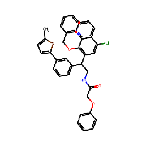 Cc1ccc(-c2cccc(C(CNC(=O)COc3ccccc3)c3cc(Cl)c4cccnc4c3OCc3ccccc3)c2)s1